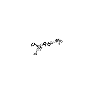 Cc1c(COc2cc(OCc3cccnc3)c(CNCCN=O)cc2Cl)cccc1-c1cccc(OCCCN2CCC3(CCC(=O)N3)C2)c1C